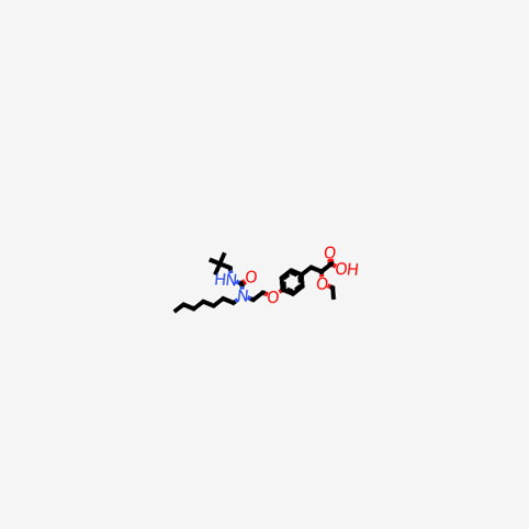 CCCCCCCN(CCOc1ccc(CC(OCC)C(=O)O)cc1)C(=O)NCC(C)(C)C